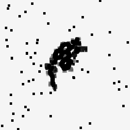 CC(C)(C)N(C(=O)O)C1CCc2ccc(CNS(=O)(=O)CCCF)cc2C1Cc1ccccc1